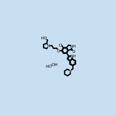 Cl.Cl.O=C1NCc2c(Cl)c(OCCCN3CCCC3CO)cc(-c3cc4cc(CN5CCCCC5)ccc4[nH]3)c21